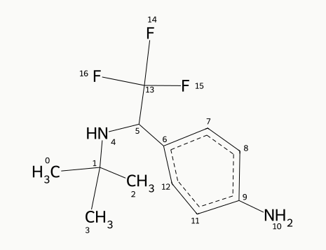 CC(C)(C)NC(c1ccc(N)cc1)C(F)(F)F